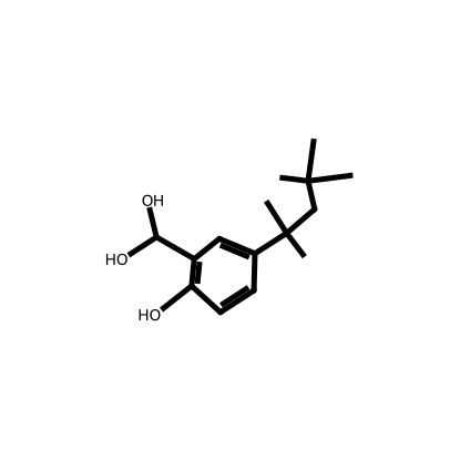 CC(C)(C)CC(C)(C)c1ccc(O)c(C(O)O)c1